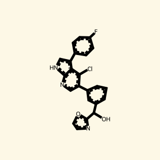 OC(c1cccc(-c2cnc3[nH]cc(-c4ccc(F)cc4)c3c2Cl)c1)c1ncco1